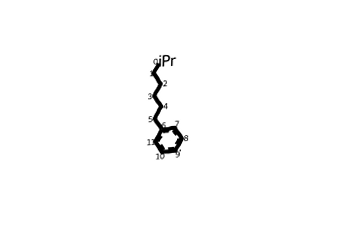 CC(C)CCCCCc1cc[c]cc1